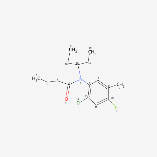 CCCC(=O)N(c1cc(C)c(F)cc1Cl)C(CC)CC